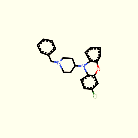 Clc1ccc2c(c1)Oc1ccccc1N2C1CCN(Cc2ccccc2)CC1